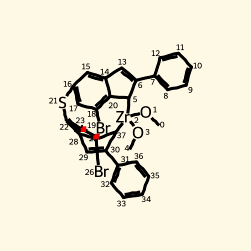 C[O][Zr]1([O]C)[CH]2C(c3ccccc3)=Cc3cc(cc(Br)c32)Sc2ccc(Br)c3c2C=C(c2ccccc2)[CH]31